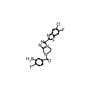 Bc1cc(C(=O)N2CCn3c(nnc3-c3nc4cc(Cl)c(F)cc4s3)C2)ccc1F